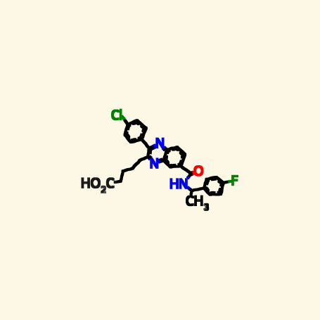 CC(NC(=O)c1ccc2nc(-c3ccc(Cl)cc3)c(CCCCC(=O)O)nc2c1)c1ccc(F)cc1